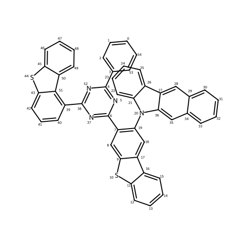 c1ccc(-c2nc(-c3cc4sc5ccccc5c4cc3-n3c4ccccc4c4cc5ccccc5cc43)nc(-c3cccc4sc5ccccc5c34)n2)cc1